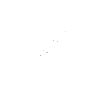 CCCCCCOC(=O)Oc1ccc(C(=O)Oc2ccc(OCCCC(C)CC)cc2)cc1